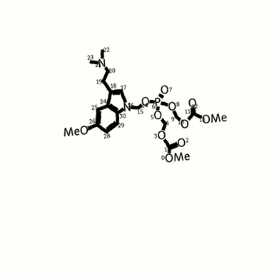 COC(=O)OCOP(=O)(OCOC(=O)OC)OCn1cc(CCN(C)C)c2cc(OC)ccc21